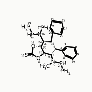 CN(PP)[C@@H](Cc1ccccc1)[C@H]1OC(=S)O[C@@H]1[C@H](Cc1ccccc1)N(P)PP